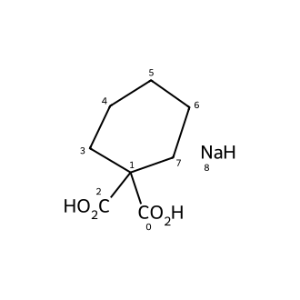 O=C(O)C1(C(=O)O)CCCCC1.[NaH]